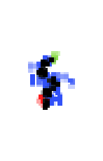 C=CC(=O)Nc1cccc(-c2nccc3c(N)nc(Nc4ccc(NC5CN(CCF)C5)cc4)nc23)c1